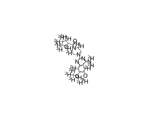 [2H]c1c(OC([2H])([2H])[2H])c(OC([2H])([2H])[2H])c([2H])c2c(N([2H])[2H])nc(N3CC([2H])([2H])N(C(=O)C4OC([2H])([2H])C([2H])([2H])C4([2H])[2H])C([2H])([2H])C3)nc12